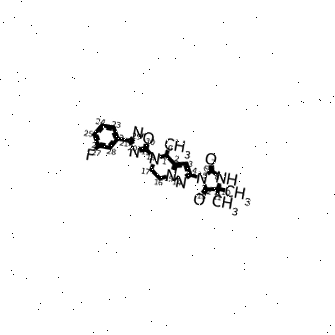 CC1c2cc(N3C(=O)NC(C)(C)C3=O)nn2CCN1c1nc(-c2cccc(F)c2)no1